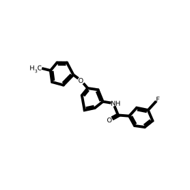 Cc1ccc(Oc2cccc(NC(=O)c3cccc(F)c3)c2)cc1